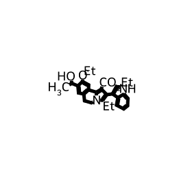 CCOC(=O)c1c(-c2c[nH]c3ccccc23)c(CC)n2c1-c1cc(OCC)c(C(C)O)cc1CC2